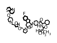 CN[C@@H](C)C(=O)NC(C(=O)N1CCN(C(=O)C2=Cc3cc(F)ccc3C2CC(=O)N2CCC[C@H]2COc2cc(CN3CCC(Oc4ccnc5ccsc45)CC3)on2)CC1)C1CCCCC1